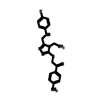 CCn1c(CNc2ccc(F)cc2)nnc1SCC(=O)c1ccc(C)cc1